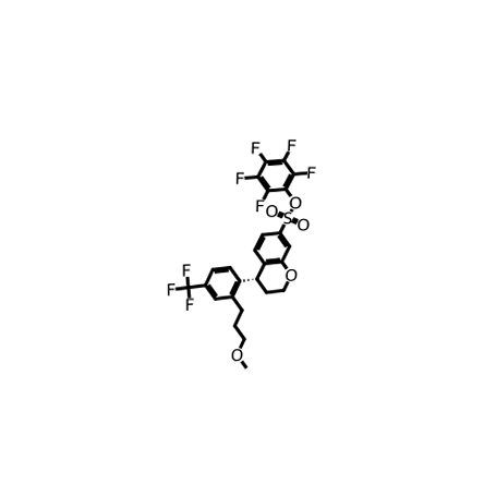 COCCCc1cc(C(F)(F)F)ccc1[C@H]1CCOc2cc(S(=O)(=O)Oc3c(F)c(F)c(F)c(F)c3F)ccc21